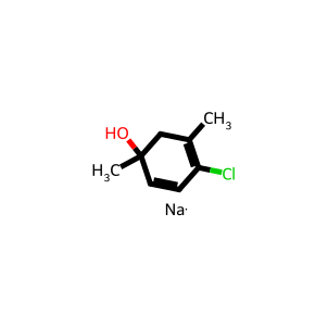 CC1=C(Cl)C=CC(C)(O)C1.[Na]